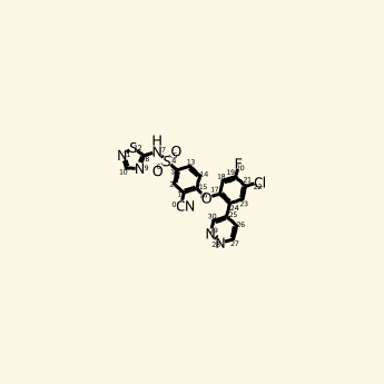 N#Cc1cc(S(=O)(=O)Nc2ncns2)ccc1Oc1cc(F)c(Cl)cc1-c1ccnnc1